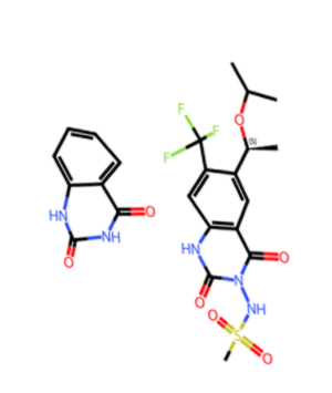 CC(C)O[C@@H](C)c1cc2c(=O)n(NS(C)(=O)=O)c(=O)[nH]c2cc1C(F)(F)F.O=c1[nH]c(=O)c2ccccc2[nH]1